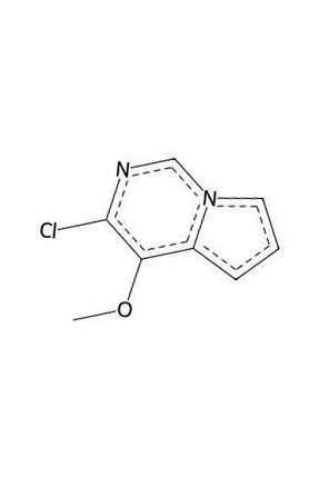 COc1c(Cl)ncn2cccc12